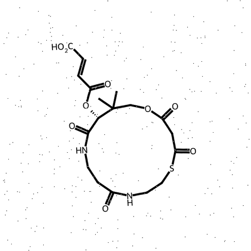 CC1(C)COC(=O)CC(=O)SCCNC(=O)CCNC(=O)[C@@H]1OC(=O)/C=C/C(=O)O